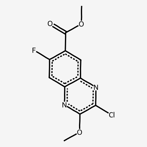 COC(=O)c1cc2nc(Cl)c(OC)nc2cc1F